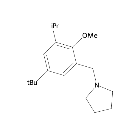 COc1c(CN2CCCC2)cc(C(C)(C)C)cc1C(C)C